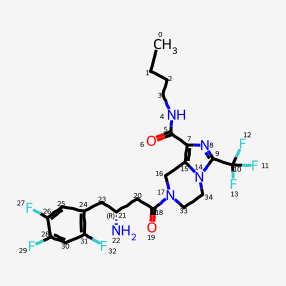 CCCCNC(=O)c1nc(C(F)(F)F)n2c1CN(C(=O)C[C@H](N)Cc1cc(F)c(F)cc1F)CC2